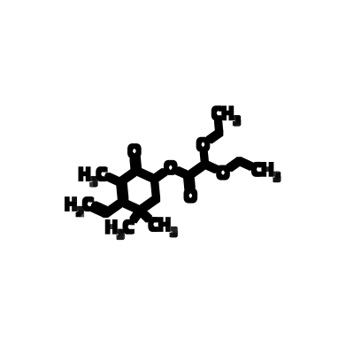 C=CC1=C(C)C(=O)C(OC(=O)C(OCC)OCC)CC1(C)C